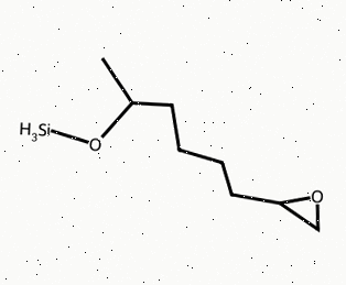 CC(CCCCC1CO1)O[SiH3]